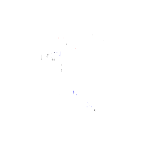 C=CCOC(=O)N1CCC2c3ccc(N4CCN(C)CC4)cc3C1[C@H]2C